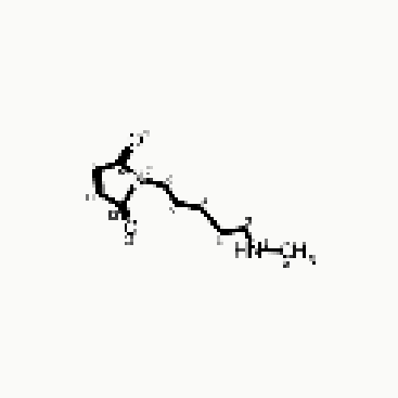 CNCCCCCN1C(=O)C=CC1=O